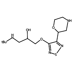 CC(C)(C)NCC(O)COc1nsnc1C1CNCCO1